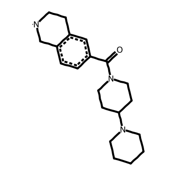 O=C(c1ccc2c(c1)CC[N]C2)N1CCC(N2CCCCC2)CC1